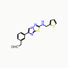 O=CCc1cccc(-c2cn3nc(NCc4cccs4)sc3n2)c1